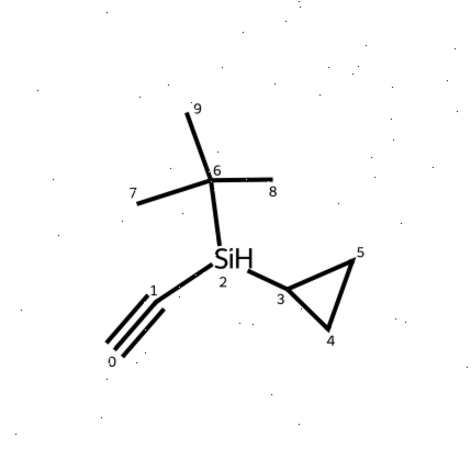 C#C[SiH](C1CC1)C(C)(C)C